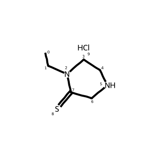 CCN1CCNCC1=S.Cl